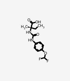 CC[C@](C)(NC(=O)Nc1ccc(OC(F)F)cc1)C(=O)O